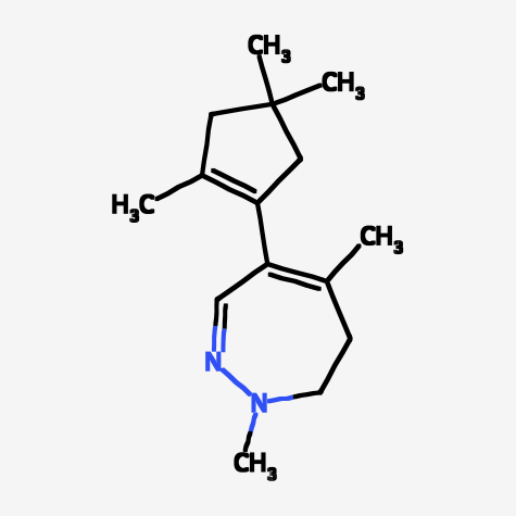 CC1=C(C2=C(C)CC(C)(C)C2)C=NN(C)CC1